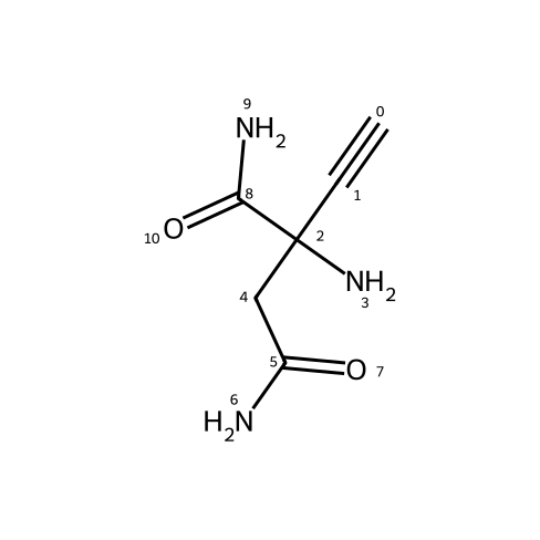 C#CC(N)(CC(N)=O)C(N)=O